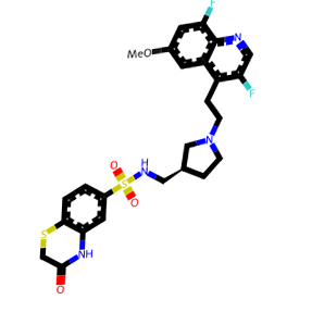 COc1cc(F)c2ncc(F)c(CCN3CC[C@@H](CNS(=O)(=O)c4ccc5c(c4)NC(=O)CS5)C3)c2c1